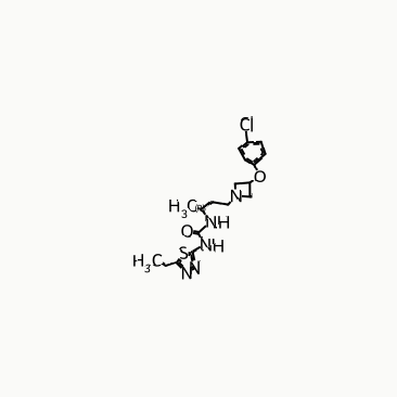 CCc1nnc(NC(=O)N[C@H](C)CCN2CC(Oc3ccc(Cl)cc3)C2)s1